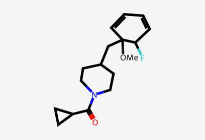 COC1(CC2CCN(C(=O)C3CC3)CC2)C=CC=CC1F